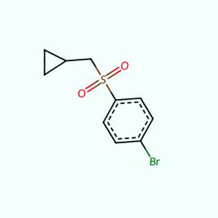 O=S(=O)(CC1CC1)c1ccc(Br)cc1